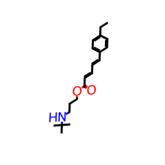 CCc1ccc(/C=C/C=C/C(=O)OCCCNC(C)(C)C)cc1